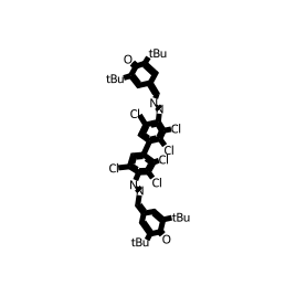 CC(C)(C)C1=CC(=C/N=N/c2c(Cl)cc(-c3cc(Cl)c(/N=N/C=C4C=C(C(C)(C)C)C(=O)C(C(C)(C)C)=C4)c(Cl)c3Cl)c(Cl)c2Cl)C=C(C(C)(C)C)C1=O